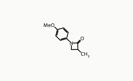 COc1ccc(N2CC(C)C2=O)cc1